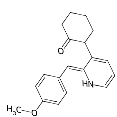 COc1ccc(C=C2NC=CC=C2C2CCCCC2=O)cc1